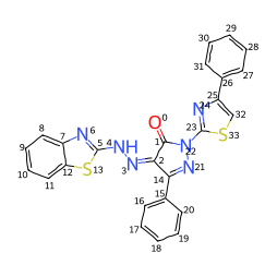 O=C1/C(=N\Nc2nc3ccccc3s2)C(c2ccccc2)=NN1c1nc(-c2ccccc2)cs1